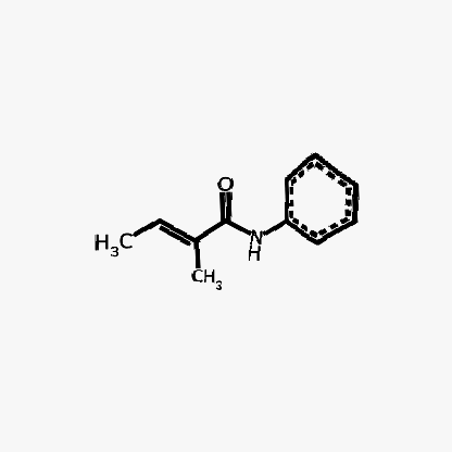 C/C=C(\C)C(=O)Nc1ccccc1